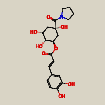 O=C(/C=C/c1ccc(O)c(O)c1)O[C@@H]1C[C@](O)(C(=O)N2CCCC2)C[C@@H](O)[C@H]1O